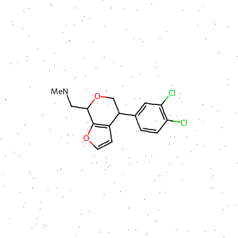 CNCC1OCC(c2ccc(Cl)c(Cl)c2)c2ccoc21